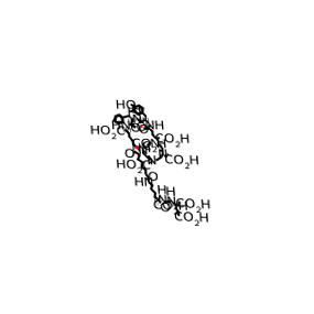 O=C(O)CC[C@H](NC(=O)N[C@@H](CCCCNC(=O)CCCCCCC(=O)NCCCC[C@@H](NC(=O)[C@@H](Cc1ccccc1)NC(=O)[C@@H](Cc1ccc(O)c(I)c1)NC(=O)CCC(C(=O)O)N1CCN(CC(=O)O)CCN(CC(=O)O)CCN(CC(=O)O)CC1)C(=O)O)C(=O)O)C(=O)O